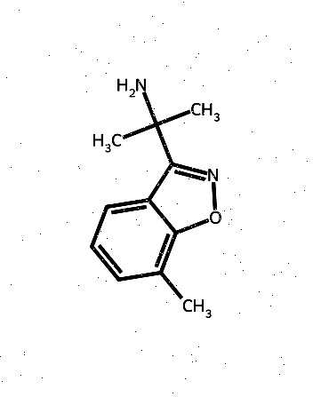 Cc1cccc2c(C(C)(C)N)noc12